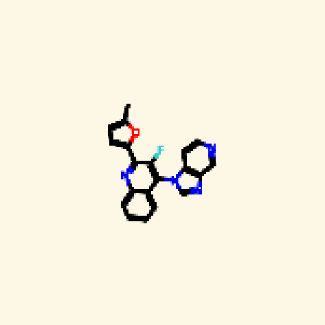 Cc1ccc(-c2nc3ccccc3c(-n3cnc4cnccc43)c2F)o1